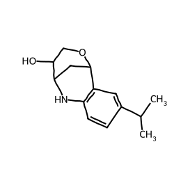 CC(C)c1ccc2c(c1)C1CC(N2)C(O)CO1